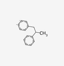 CC(Cc1c[c][c]cc1)c1ccccc1